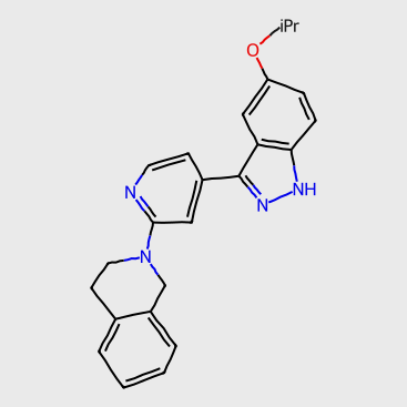 CC(C)Oc1ccc2[nH]nc(-c3ccnc(N4CCc5ccccc5C4)c3)c2c1